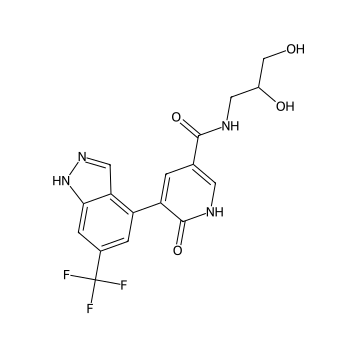 O=C(NCC(O)CO)c1c[nH]c(=O)c(-c2cc(C(F)(F)F)cc3[nH]ncc23)c1